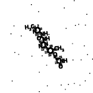 Cc1ccc(NC(=O)Nc2cncc(-c3ccc(OC[C@H]4CNC(=O)C4)c(C)c3)n2)cn1